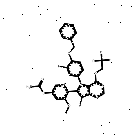 COc1cc(OC(N)=O)cnc1-c1c(Br)c2ncnc(OCC(F)(F)F)c2n1-c1ccc(OCc2ccccc2)c(F)c1